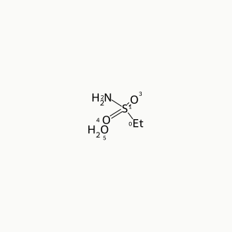 CCS(N)(=O)=O.O